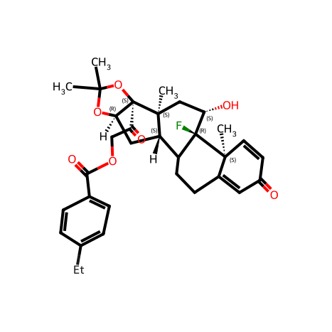 CCc1ccc(C(=O)OCC(=O)[C@@]23OC(C)(C)O[C@@H]2C[C@H]2C4CCC5=CC(=O)C=C[C@]5(C)[C@@]4(F)[C@@H](O)C[C@@]23C)cc1